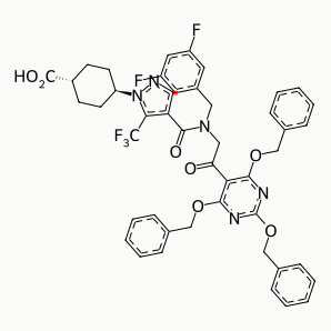 O=C(CN(Cc1cc(F)cc(F)c1)C(=O)c1cnn([C@H]2CC[C@H](C(=O)O)CC2)c1C(F)(F)F)c1c(OCc2ccccc2)nc(OCc2ccccc2)nc1OCc1ccccc1